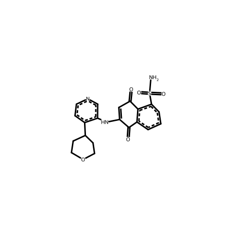 NS(=O)(=O)c1cccc2c1C(=O)C=C(Nc1cnccc1C1CCOCC1)C2=O